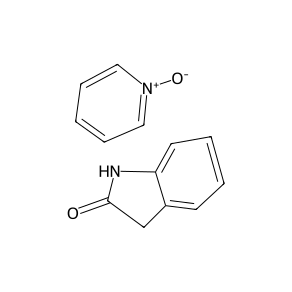 O=C1Cc2ccccc2N1.[O-][n+]1ccccc1